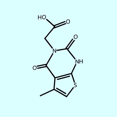 Cc1csc2[nH]c(=O)n(CC(=O)O)c(=O)c12